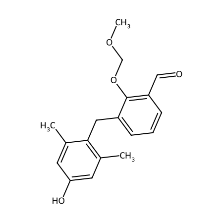 COCOc1c(C=O)cccc1Cc1c(C)cc(O)cc1C